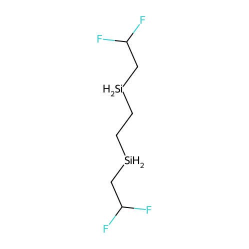 FC(F)C[SiH2]CC[SiH2]CC(F)F